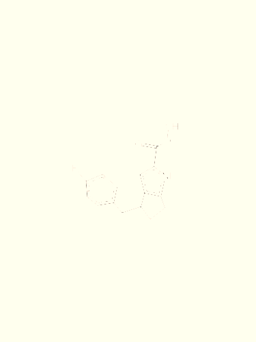 COC(=O)c1cc2c([nH]1)CCC2Cc1ccc(F)cc1